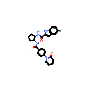 O=C(N[C@H]1CCC[C@H]1NC(=O)c1cc2cc(Cl)ccc2[nH]1)c1ccc(-n2ccccc2=O)cc1